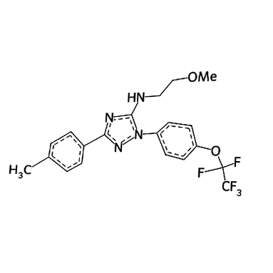 COCCNc1nc(-c2ccc(C)cc2)nn1-c1ccc(OC(F)(F)C(F)(F)F)cc1